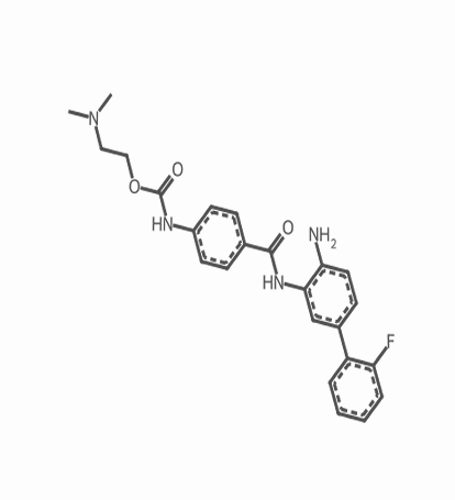 CN(C)CCOC(=O)Nc1ccc(C(=O)Nc2cc(-c3ccccc3F)ccc2N)cc1